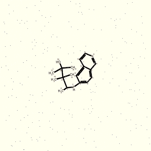 CC(Pc1ccc2cnccc2c1)C(C)(C)C(C)(C)O